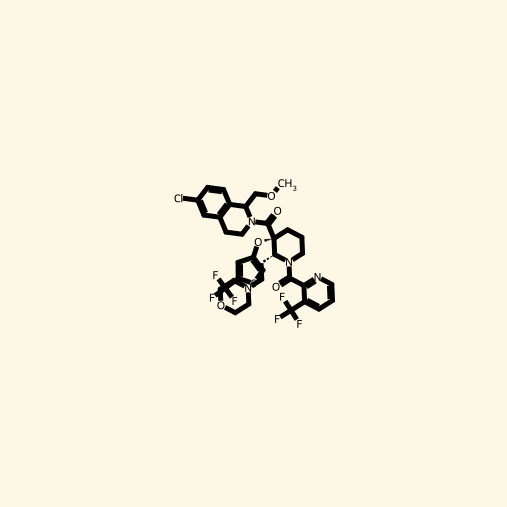 COCC1c2ccc(Cl)cc2CCN1C(=O)[C@@]1(Oc2csc(C(F)(F)F)c2)CCCN(C(=O)c2ncccc2C(F)(F)F)[C@@H]1CCN1CCOCC1